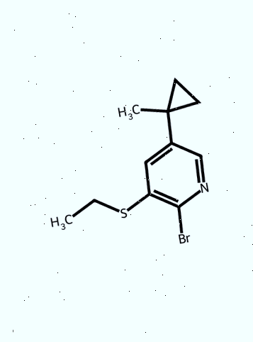 CCSc1cc(C2(C)CC2)cnc1Br